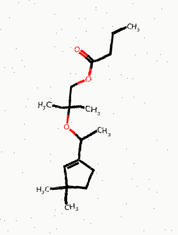 CCCC(=O)OCC(C)(C)OC(C)C1=CC(C)(C)CC1